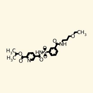 CCOCCCNC(=O)c1cccc(S(=O)(=O)NC(=O)c2ccc(C(=O)OC(C)C)nc2)c1